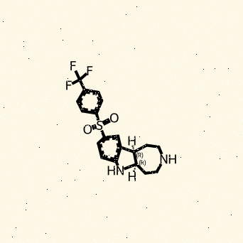 O=S(=O)(c1ccc(C(F)(F)F)cc1)c1ccc2c(c1)[C@H]1CCNCC[C@H]1N2